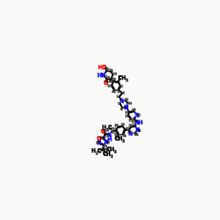 Cc1cc(CCN2CCN(c3ccc(Nc4cc(-c5ccc([C@@H](C)NC(=O)c6nc(C(C)(C)C)no6)c(C)c5)ncn4)nc3)CC2)ccc1C1CCC(O)NC1=O